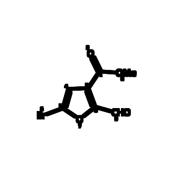 COC(=O)c1cc(Br)oc1C=O